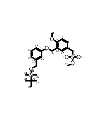 COc1ccc(CS(=O)(=O)OC)cc1COc1cccc(CO[Si](C)(C)C(C)(C)C)c1